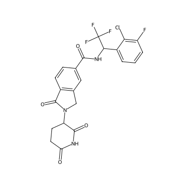 O=C1CCC(N2Cc3cc(C(=O)NC(c4cccc(F)c4Cl)C(F)(F)F)ccc3C2=O)C(=O)N1